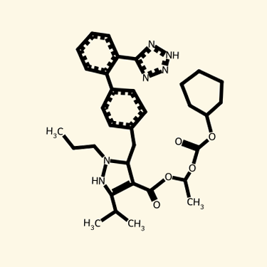 CCCN1NC(C(C)C)=C(C(=O)OC(C)OC(=O)OC2CCCCC2)C1Cc1ccc(-c2ccccc2-c2nn[nH]n2)cc1